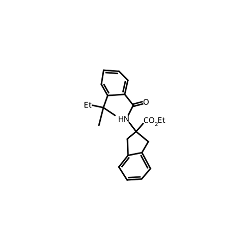 CCOC(=O)C1(NC(=O)c2ccccc2C(C)(C)CC)Cc2ccccc2C1